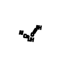 B=O.[Co].[LiH].[Ni]